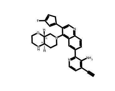 C#Cc1ccnc(-c2ccc3ncc(C4=CC(F)=CC4)c(N4CC[C@H]5NCCO[C@@H]5C4)c3c2)c1N